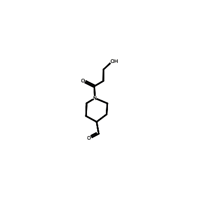 O=CC1CCN(C(=O)CCO)CC1